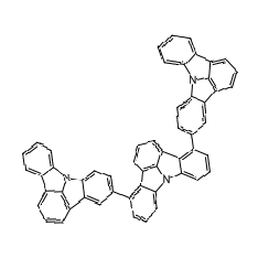 c1ccc2c(c1)c1cccc3c4cc(-c5cccc6c5c5cccc7c8c(-c9ccc%10c(c9)c9cccc%11c%12ccccc%12n%10c%119)cccc8n6c57)ccc4n2c13